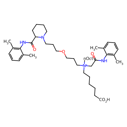 CCCCCCCC[N+](CCCCCC(=O)O)(CCCOCCCN1CCCCC1C(=O)Nc1c(C)cccc1C)CC(=O)Nc1c(C)cccc1C